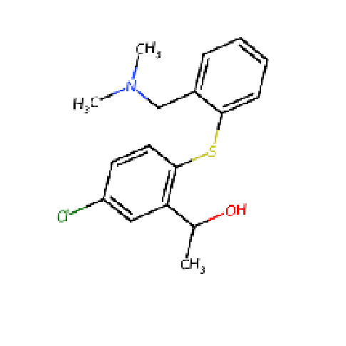 CC(O)c1cc(Cl)ccc1Sc1ccccc1CN(C)C